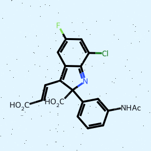 CC(=O)Nc1cccc(C2(C(=O)O)N=c3c(Cl)cc(F)cc3=C2C=CC(=O)O)c1